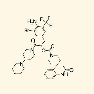 Nc1c(Br)cc(C[C@@H](OC(=O)N2CCC3(CC2)CC(=O)Nc2ccccc23)C(=O)N2CCC(N3CCCCC3)CC2)cc1C(F)(F)F